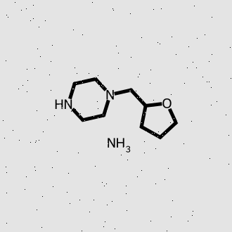 C1COC(CN2CCNCC2)C1.N